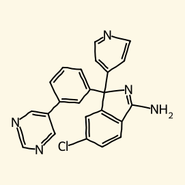 NC1=NC(c2ccncc2)(c2cccc(-c3cncnc3)c2)c2cc(Cl)ccc21